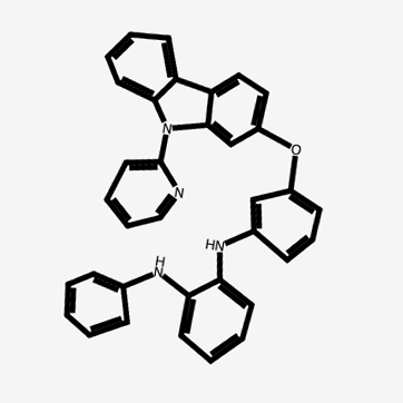 c1ccc(Nc2ccccc2Nc2cccc(Oc3ccc4c5ccccc5n(-c5ccccn5)c4c3)c2)cc1